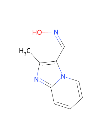 Cc1nc2ccccn2c1/C=N\O